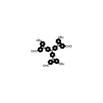 CCCCc1ccc2c(c1)c1cc(C=O)ccc1n2-c1ccc(N(c2ccc(-n3c4ccc(C=O)cc4c4cc(CCCC)ccc43)cc2)c2ccc(-n3c4ccc(C=O)cc4c4cc(CCCC)ccc43)cc2)cc1